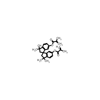 C=C(C)C(=O)Oc1ccc2c(c1)C1(CC2(C)C)CC(C)(C)c2ccc(OC(=O)C(=C)C)cc21